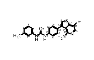 Cc1cccc(NC(=O)Nc2ccc(-c3csc4c(I)cnc(N)c34)cc2)c1